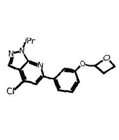 CC(C)n1ncc2c(Cl)cc(-c3cccc(OC4CCO4)c3)nc21